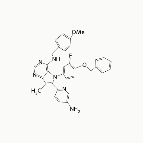 COc1ccc(CNc2ncnc3c(C)c(-c4ccc(N)cn4)n(-c4ccc(OCc5ccccc5)c(F)c4)c23)cc1